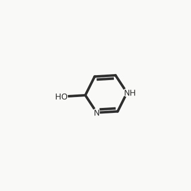 OC1C=CNC=N1